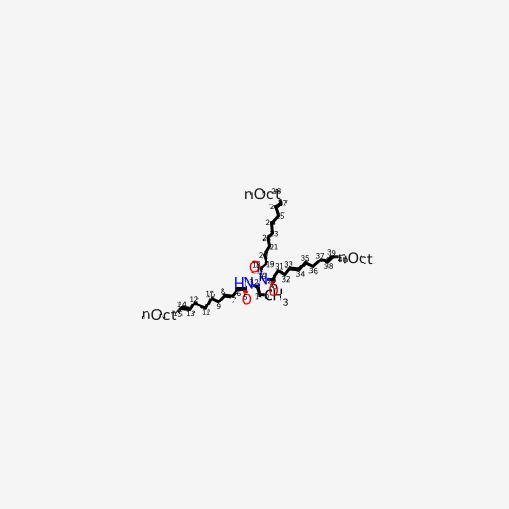 CC=C(NC(=O)CCCCCCCC=CCCCCCCCC)N(C(=O)CCCCCCCC=CCCCCCCCC)C(=O)CCCCCCCC=CCCCCCCCC